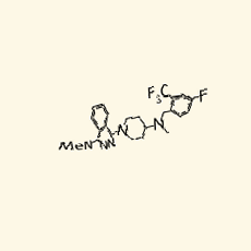 CNc1nnc(N2CCC(N(C)Cc3ccc(F)cc3C(F)(F)F)CC2)c2ccccc12